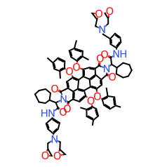 Cc1ccc(Oc2cc3c4c(cc(Oc5ccc(C)cc5C)c5c6c(Oc7ccc(C)cc7C)cc7c8c(cc(Oc9ccc(C)cc9C)c(c2c45)c86)C(=O)N(C(C(=O)Nc2cccc(CN(CC4CO4)CC4CO4)c2)C2CCCCCC2)C7=O)C(=O)N(C(C(=O)Nc2ccc(N(CC4CO4)CC4CO4)cc2)C2CCCCCC2)C3=O)c(C)c1